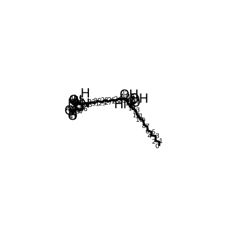 CCCCCCCCCCCCCCCC(=O)N[C@@H](CO)[C@@H](O)/C=C/CCCCCCCCCNc1ccc([N+](=O)[O-])c2nonc12